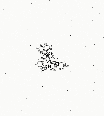 COc1ccccc1C(C(=O)N1CCN(C2CCN(C)CC2)CC1)n1c(=O)n(S(=O)(=O)c2cccc3cccnc23)c2ccc(Cl)cc21